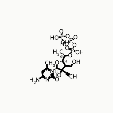 C#CC1(O)C(CO)[C@@H]([C@H](C)OP(=O)(O)OP(=O)(O)OP(=O)(O)O)O[C@H]1n1c(C)cc(N)nc1=O